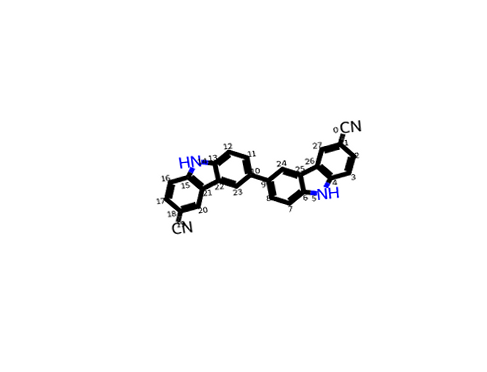 N#Cc1ccc2[nH]c3ccc(-c4ccc5[nH]c6ccc(C#N)cc6c5c4)cc3c2c1